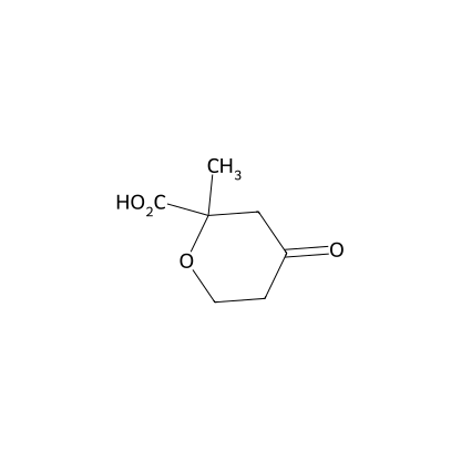 CC1(C(=O)O)CC(=O)CCO1